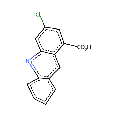 O=C(O)c1cc(Cl)cc2nc3ccccc3cc12